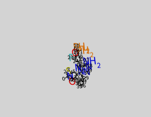 Cc1csc2cc([C@H](C3CC3)n3nc(-c4ccc(OC(P)P)c(F)c4)c4c(N)ncnc43)c(-c3ccccc3)c(=O)n12